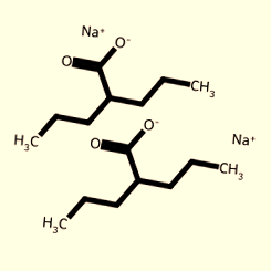 CCCC(CCC)C(=O)[O-].CCCC(CCC)C(=O)[O-].[Na+].[Na+]